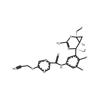 C#CCOc1cnc(C(=O)Nc2cc(F)c(F)c([C@@]3(CF)N=C(N)S[C@@]4(CF)C[C@H]43)c2)cn1